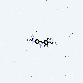 C=CC(=C)Nc1ccc(C/C(N)=c2\cc(C=C)c(CCC)cc2=C)c(F)c1